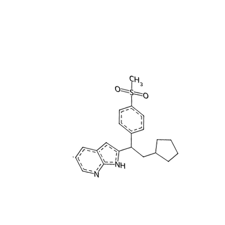 CS(=O)(=O)c1ccc(C(CC2CCCC2)c2cc3c[c]cnc3[nH]2)cc1